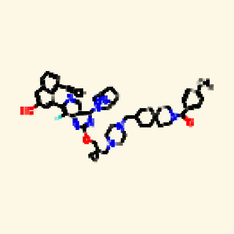 C#Cc1cccc2cc(O)cc(-c3ncc4c(N5CC6CCC(C5)N6)nc(OCC5(CN6CCN(CC7CCC8(CC7)CCN(C(=O)c7ccc(C)cc7)CC8)CC6)CC5)nc4c3F)c12